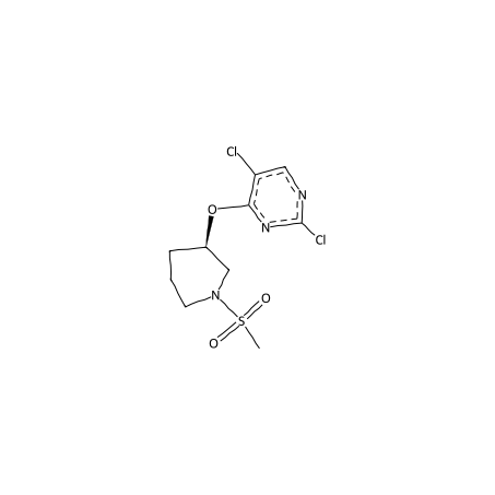 CS(=O)(=O)N1CCC[C@@H](Oc2nc(Cl)ncc2Cl)C1